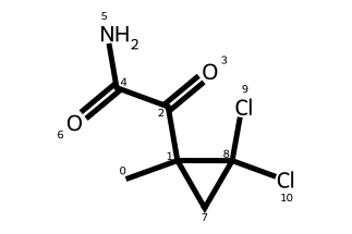 CC1(C(=O)C(N)=O)CC1(Cl)Cl